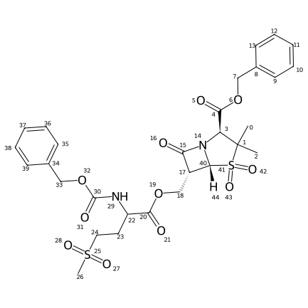 CC1(C)[C@H](C(=O)OCc2ccccc2)N2C(=O)[C@@H](COC(=O)C(CCS(C)(=O)=O)NC(=O)OCc3ccccc3)[C@H]2S1(=O)=O